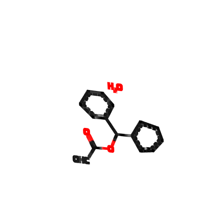 O.O=CC(=O)OC(c1ccccc1)c1ccccc1